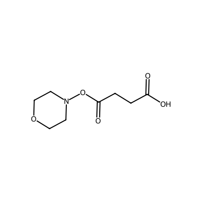 O=C(O)CCC(=O)ON1CCOCC1